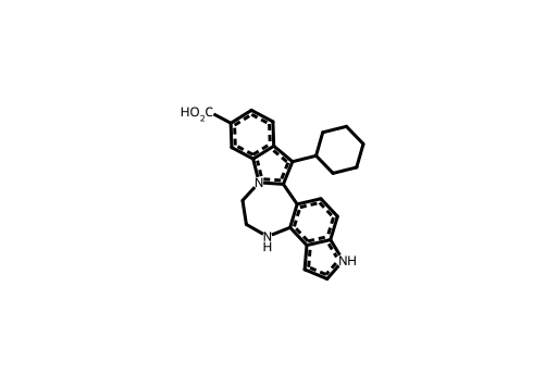 O=C(O)c1ccc2c(C3CCCCC3)c3n(c2c1)CCNc1c-3ccc2[nH]ccc12